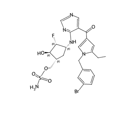 CCc1cc(C(=O)c2cncnc2N[C@@H]2C[C@H](COS(N)(=O)=O)[C@@H](O)[C@@H]2F)cn1Cc1cccc(Br)c1